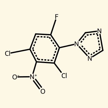 O=[N+]([O-])c1c(Cl)cc(F)c(-n2cncn2)c1Cl